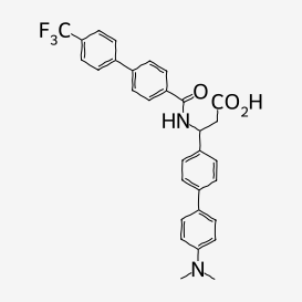 CN(C)c1ccc(-c2ccc(C(CC(=O)O)NC(=O)c3ccc(-c4ccc(C(F)(F)F)cc4)cc3)cc2)cc1